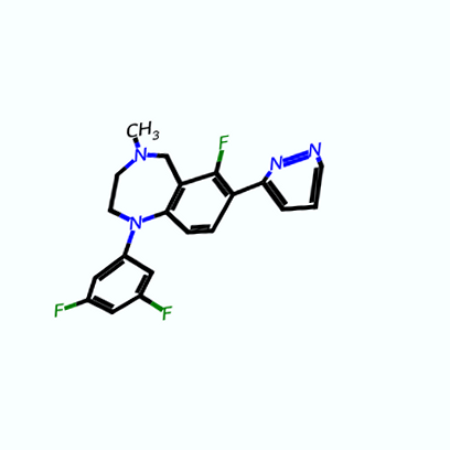 CN1CCN(c2cc(F)cc(F)c2)c2ccc(-c3cccnn3)c(F)c2C1